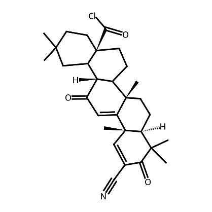 CC1(C)CC[C@]2(C(=O)Cl)CCC3[C@H](C(=O)C=C4[C@@]3(C)CC[C@H]3C(C)(C)C(=O)C(C#N)=C[C@]43C)C2C1